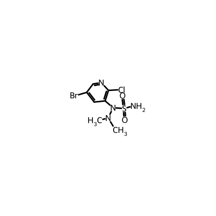 CN(C)N(c1cc(Br)cnc1Cl)S(N)(=O)=O